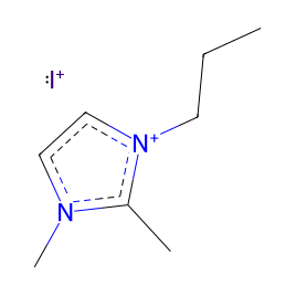 CCC[n+]1ccn(C)c1C.[I+]